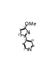 COc1csc(-c2ccncc2)n1